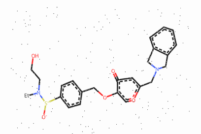 CCN(CCO)[S+]([O-])c1ccc(COc2coc(CN3Cc4ccccc4C3)cc2=O)cc1